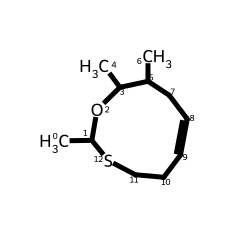 CC1OC(C)C(C)C/C=C\CCS1